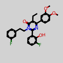 CCc1c(-c2ccc(OC)c(OC)c2)nc(-c2cccc(F)c2O)n(CCc2cccc(F)c2)c1=O